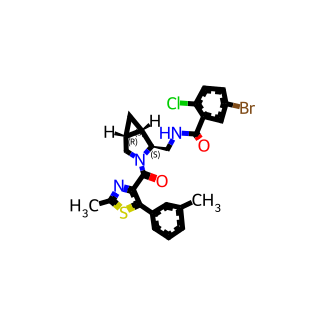 Cc1cccc(-c2sc(C)nc2C(=O)N2C[C@@H]3C[C@@H]3[C@H]2CNC(=O)c2cc(Br)ccc2Cl)c1